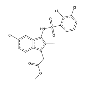 COC(=O)Cn1c(C)c(NS(=O)(=O)c2cccc(Cl)c2Cl)c2cc(Cl)ccc21